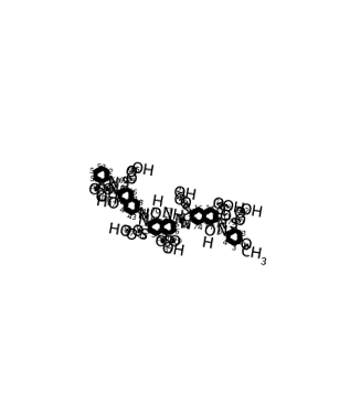 COc1ccc(N=Nc2c(S(=O)(=O)O)cc3cc(SOOO)c(N=Nc4cc(S(=O)(=O)O)c5cc(SOOO)c(N=Nc6ccc7c(O)c(N=Nc8ccccc8S(=O)(=O)O)c(SOOO)cc7c6)c(O)c5c4N)cc3c2O)c(SOOO)c1